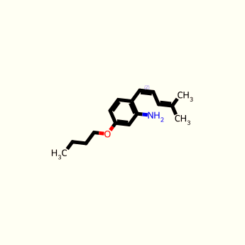 CCCCOc1ccc(/C=C\C=C(C)C)c(N)c1